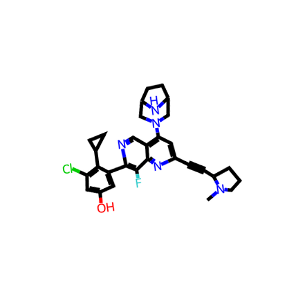 CN1CCCC1C#Cc1cc(N2CC3CCC(C2)N3)c2cnc(-c3cc(O)cc(Cl)c3C3CC3)c(F)c2n1